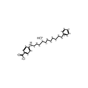 Cl.O=C(Cl)c1ccc(NCCCCCCCCCCCc2ccccc2)cc1